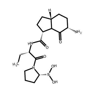 CC[C@H](NC(=O)[C@@H]1CC[C@@H]2CC[C@H](N)C(=O)C21)C(=O)N1CCC[C@H]1B(O)O